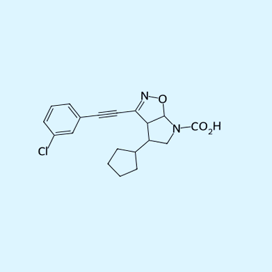 O=C(O)N1CC(C2CCCC2)C2C(C#Cc3cccc(Cl)c3)=NOC21